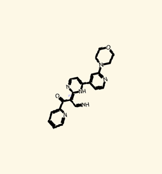 N=C/C(C(=O)c1ccccn1)=C1/N=CC=C(c2ccnc(N3CCOCC3)c2)N1